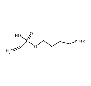 C=CP(=O)(O)OCCCCCCCCCC